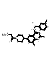 COCC(=O)N1CCC(c2cc(C)c3nc(C)nc(N[C@H](C)c4cccc(C)c4)c3c2)CC1